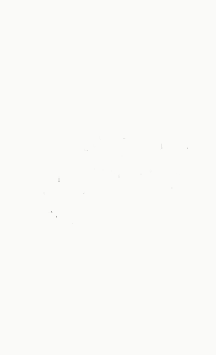 C=C(N)/C=C/c1cccc(C2=CC=CCC2)c1